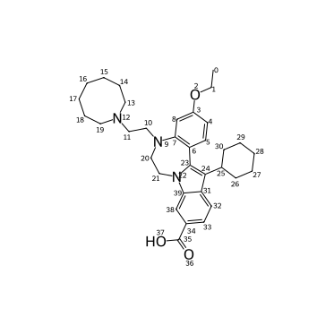 CCOc1ccc2c(c1)N(CCN1CCCCCCC1)CCn1c-2c(C2CCCCC2)c2ccc(C(=O)O)cc21